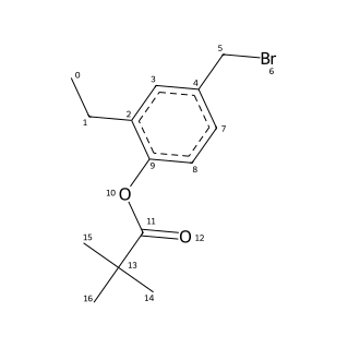 CCc1cc(CBr)ccc1OC(=O)C(C)(C)C